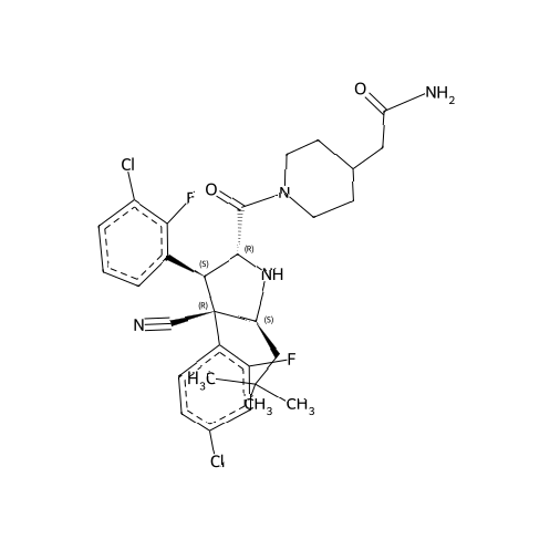 CC(C)(C)C[C@@H]1N[C@@H](C(=O)N2CCC(CC(N)=O)CC2)[C@H](c2cccc(Cl)c2F)[C@@]1(C#N)c1ccc(Cl)cc1F